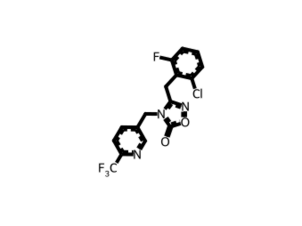 O=c1onc(Cc2c(F)cccc2Cl)n1Cc1ccc(C(F)(F)F)nc1